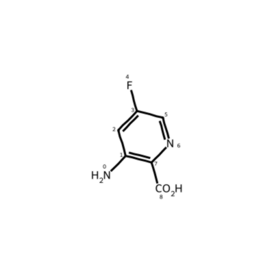 Nc1cc(F)cnc1C(=O)O